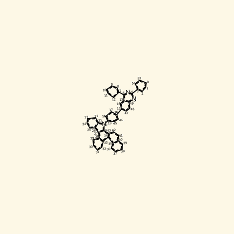 c1ccc(-c2nc(-c3ccccc3)c3cc(-c4ccc(-n5c6ccccc6c6c7ccccc7c7c8ccccc8ccc7c65)cc4)ccc3n2)cc1